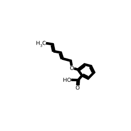 CC=CC=CCOc1ccccc1C(=O)O